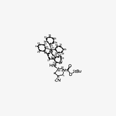 CC(C)(C)OC(=O)N1CC(C#N)C[C@@H](Nc2ncnc3c2ccn3C(c2ccccc2)(c2ccccc2)c2ccccc2)C1